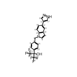 OC(c1ccc(Cn2ccc3cc(-c4cn[nH]c4)ccc32)cc1)(C(F)(F)F)C(F)(F)F